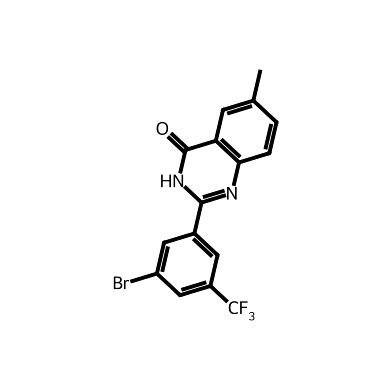 Cc1ccc2nc(-c3cc(Br)cc(C(F)(F)F)c3)[nH]c(=O)c2c1